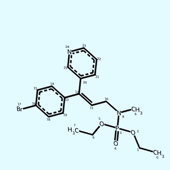 CCOP(=O)(OCC)N(C)C/C=C(/c1ccc(Br)cc1)c1cccnc1